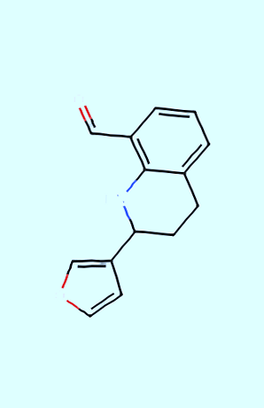 O=Cc1cccc2c1NC(c1ccoc1)CC2